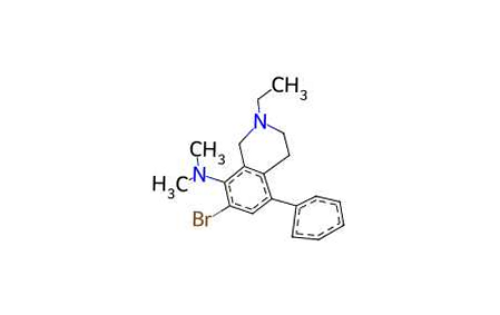 CCN1CCc2c(-c3ccccc3)cc(Br)c(N(C)C)c2C1